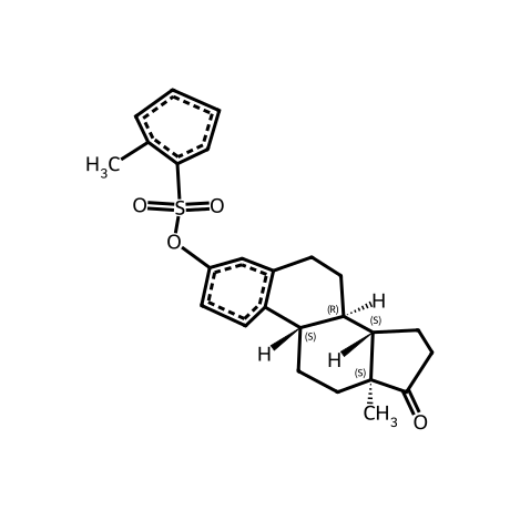 Cc1ccccc1S(=O)(=O)Oc1ccc2c(c1)CC[C@@H]1[C@@H]2CC[C@]2(C)C(=O)CC[C@@H]12